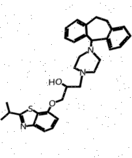 CC(C)c1nc2cccc(OCC(O)CN3CCN(C4c5ccccc5CCc5ccccc54)CC3)c2s1